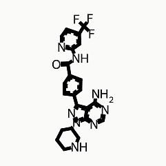 Nc1ncnc2c1c(-c1ccc(C(=O)Nc3cc(C(F)(F)F)ccn3)cc1)nn2C1CCCNC1